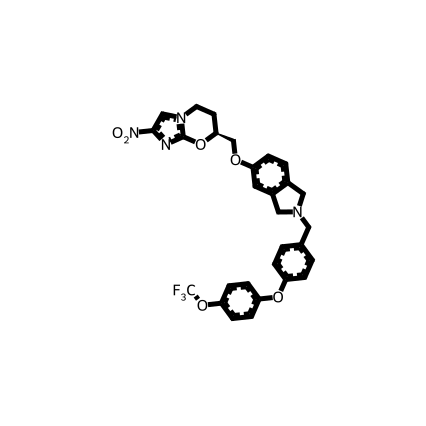 O=[N+]([O-])c1cn2c(n1)O[C@H](COc1ccc3c(c1)CN(Cc1ccc(Oc4ccc(OC(F)(F)F)cc4)cc1)C3)CC2